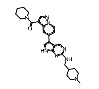 CN1CCC(CNc2ncc3c(-c4ccn5ncc(C(=O)N6CCCCC6)c5c4)c[nH]c3n2)CC1